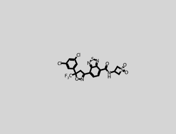 O=C(NC1CS(=O)(=O)C1)c1ccc(C2=NOC(c3cc(Cl)cc(Cl)c3)(C(F)(F)F)C2)c2nsnc12